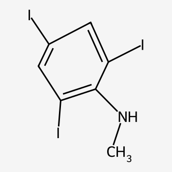 CNc1c(I)cc(I)cc1I